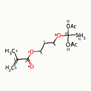 C=C(C)C(=O)OCCCOC([SiH3])(OC(C)=O)OC(C)=O